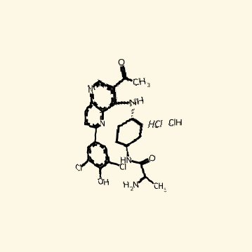 CC(=O)c1cnc2ccc(-c3cc(Cl)c(O)c(Cl)c3)nc2c1N[C@H]1CC[C@H](NC(=O)C(C)N)CC1.Cl.Cl